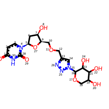 O=c1ccn([C@H]2C[C@@H](O)[C@@H](COCc3cn(C4OCC(O)C(O)C4O)nn3)O2)c(=O)[nH]1